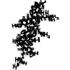 CC(C)C[C@H](NC(=O)[C@H](CCCNC(=N)N)NC(=O)[C@H](Cc1ccc(O)cc1)NC(=O)[C@H](CCCCN)NC(=O)[C@H](CC(=O)O)NC(=O)[C@@H](NC(=O)[C@H](Cc1c[nH]cn1)NC(=O)[C@@H]1CC(O)CN1C(=O)[C@@H](C)CCCNC(=N)N)[C@@H](C)O)C(N)=O